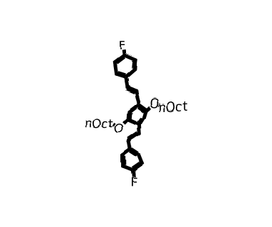 CCCCCCCCOc1cc(C=Cc2ccc(F)cc2)c(OCCCCCCCC)cc1C=Cc1ccc(F)cc1